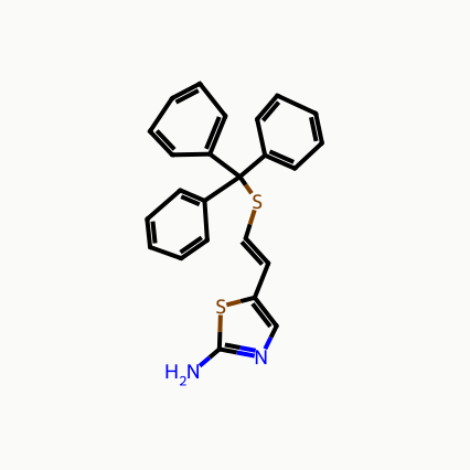 Nc1ncc(C=CSC(c2ccccc2)(c2ccccc2)c2ccccc2)s1